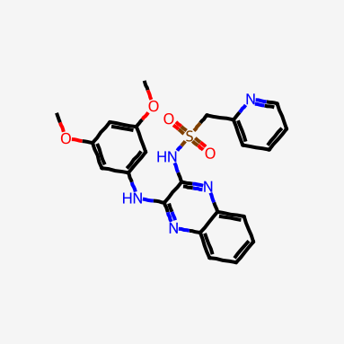 COc1cc(Nc2nc3ccccc3nc2NS(=O)(=O)Cc2ccccn2)cc(OC)c1